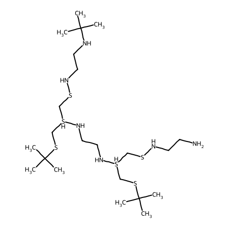 CC(C)(C)NCCNSC[SH](CSC(C)(C)C)NCCN[SH](CSNCCN)CSC(C)(C)C